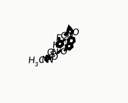 Cn1cnc(S(=O)(=O)NCCOc2ccc3c(c2)[C@H](Cc2ccccc2F)[C@H](N2C(=O)C4CC4C2=O)CC3)c1